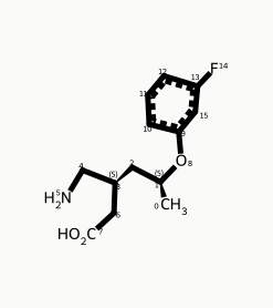 C[C@@H](C[C@H](CN)CC(=O)O)Oc1cccc(F)c1